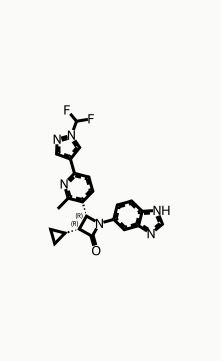 Cc1nc(-c2cnn(C(F)F)c2)ccc1[C@H]1[C@@H](C2CC2)C(=O)N1c1ccc2[nH]cnc2c1